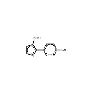 COc1ccsc1-c1ccc(O)cc1